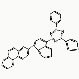 c1ccc(-c2nc(-c3ccccc3)nc(-c3ccc(-c4ccc5c(ccc6ccccc65)c4)c4ccccc34)n2)cc1